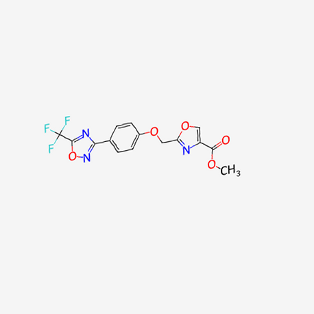 COC(=O)c1coc(COc2ccc(-c3noc(C(F)(F)F)n3)cc2)n1